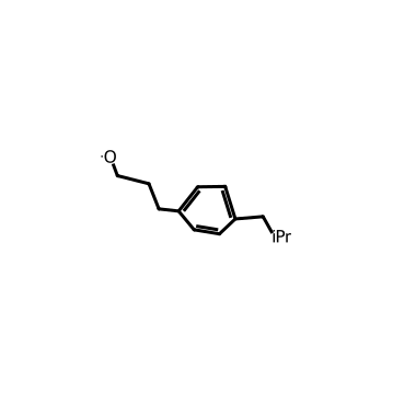 CC(C)Cc1ccc(CCC[O])cc1